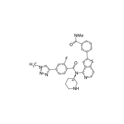 CNC(=O)c1cccc(-c2cc3c(N(C(=O)c4ccc(-c5cn(C)nn5)cc4F)[C@@H]4CCCNC4)nccc3s2)c1